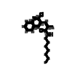 CCCCCCCNC(=O)/C(C)=C\c1cc2ccccc2nc1Cl